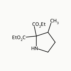 CCOC(=O)C1(C(=O)OCC)NCCC1C